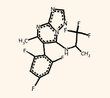 Cc1nc2ncnn2c(NC(C)C(F)(F)F)c1-c1c(F)cc(F)cc1F